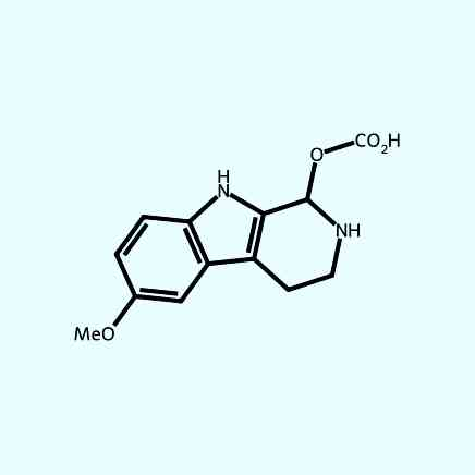 COc1ccc2[nH]c3c(c2c1)CCNC3OC(=O)O